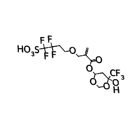 C=C(COCCC(F)(F)C(F)(F)S(=O)(=O)O)C(=O)OC1CC(O)(C(F)(F)F)OCO1